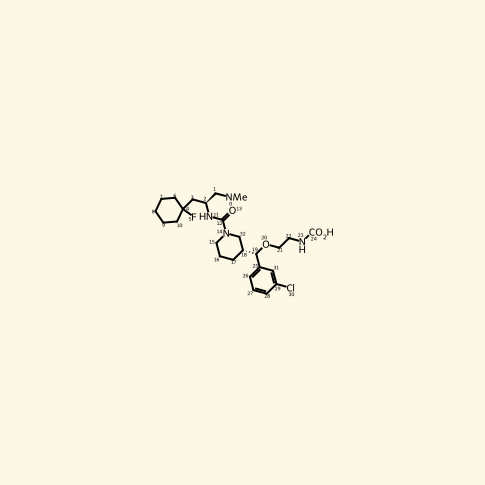 CNC[C@H](CC1(F)CCCCC1)NC(=O)N1CCC[C@@H](C(OCCNC(=O)O)c2cccc(Cl)c2)C1